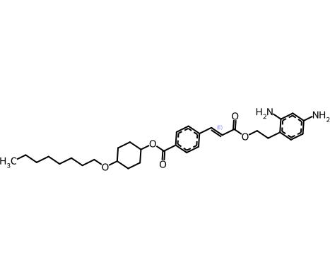 CCCCCCCCOC1CCC(OC(=O)c2ccc(/C=C/C(=O)OCCc3ccc(N)cc3N)cc2)CC1